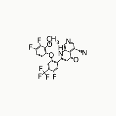 COc1c(Oc2cc(C(F)(F)F)c(F)cc2-c2cc(=O)c3c(C#N)cncc3[nH]2)ccc(F)c1F